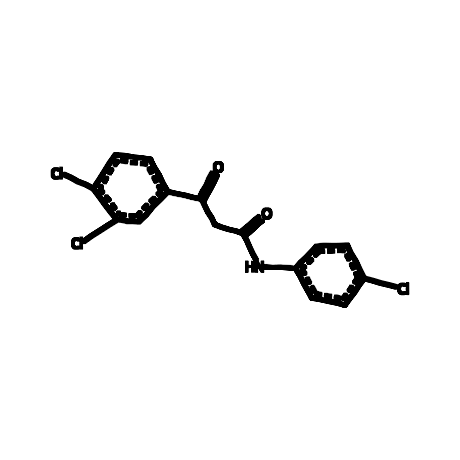 O=C(CC(=O)c1ccc(Cl)c(Cl)c1)Nc1ccc(Cl)cc1